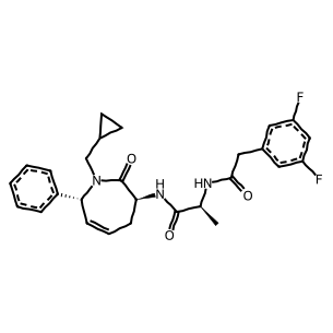 C[C@H](NC(=O)Cc1cc(F)cc(F)c1)C(=O)N[C@H]1CC=C[C@H](c2ccccc2)N(CC2CC2)C1=O